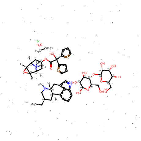 CCCN1C[C@H](CSC)C[C@@H]2c3cccc4[nH]cc(c34)C[C@H]21.CS(=O)(=O)O.C[N+]1(C)[C@@H]2C[C@@H](OC(=O)C(O)(c3cccs3)c3cccs3)C[C@H]1[C@@H]1O[C@@H]12.O.OC[C@H]1O[C@@H](O[C@H]2[C@H](O)[C@@H](O)[C@H](O)O[C@@H]2CO)[C@H](O)[C@@H](O)[C@H]1O.[Br-]